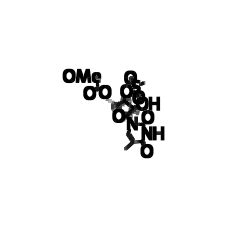 COC(=O)OC[C@H]1O[C@@H](n2cc(C)c(=O)[nH]c2=O)[C@H](O)[C@H]1OS(C)(=O)=O